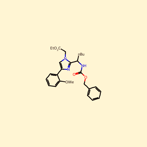 CCCCC(NC(=O)OCc1ccccc1)c1nc(-c2ccccc2OC)cn1CC(=O)OCC